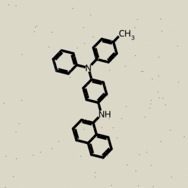 Cc1ccc(N(c2ccccc2)c2ccc(Nc3cccc4ccccc34)cc2)cc1